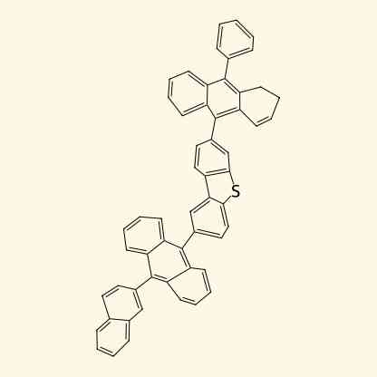 C1=Cc2c(c(-c3ccccc3)c3ccccc3c2-c2ccc3c(c2)sc2ccc(-c4c5ccccc5c(-c5ccc6ccccc6c5)c5ccccc45)cc23)CC1